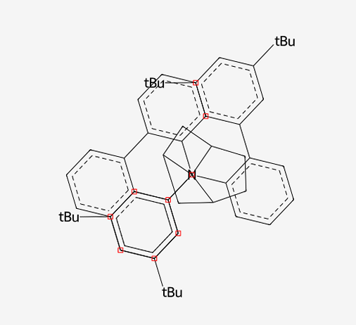 CC(C)(C)c1cc(-c2ccccc2N(c2cc(C(C)(C)C)cc(C(C)(C)C)c2)c2ccccc2-c2cccc3cccc(C45C6CCC4CC5C6)c23)cc(C(C)(C)C)c1